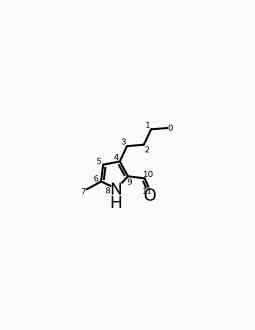 CCCCc1cc(C)[nH]c1C=O